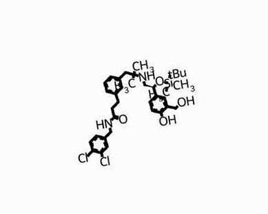 CC(C)(Cc1cccc(CCC(=O)NCc2ccc(Cl)c(Cl)c2)c1)NC[C@@H](O[Si](C)(C)C(C)(C)C)c1ccc(O)c(CO)c1